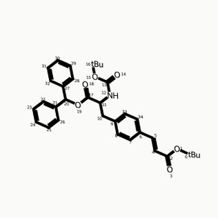 CC(C)(C)OC(=O)C=Cc1ccc(CC(NC(=O)OC(C)(C)C)C(=O)OC(c2ccccc2)c2ccccc2)cc1